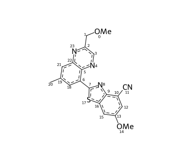 COCc1cnc2c(-c3nc4c(C#N)cc(OC)cc4s3)cc(C)cc2n1